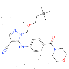 C[Si](C)(C)CCOCn1ncc(C#N)c1Nc1ccc(C(=O)N2CCOCC2)cc1